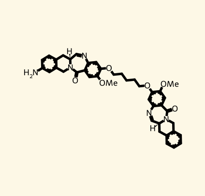 COc1cc2c(cc1OCCCCCOc1cc3c(cc1OC)C(=O)N1Cc4cc(N)ccc4C[C@H]1C=N3)N=C[C@@H]1Cc3ccccc3CN1C2=O